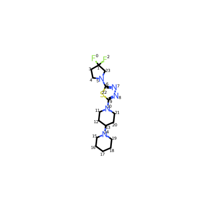 FC1(F)CCN(c2nnc(N3CCC(N4CCCCC4)CC3)s2)C1